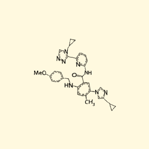 COc1ccc(CNc2cc(C)c(-n3cnc(C4CC4)c3)cc2C(=O)Nc2cccc(-c3nncn3C3CC3)n2)cc1